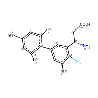 CCCc1cc(CCC)c(-c2cc(CCC)c(F)c([C@@H](N)CC(=O)O)c2)c(CCC)c1